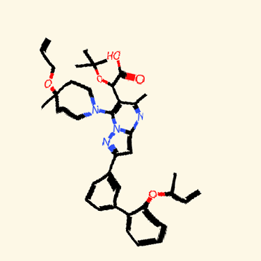 C=CCOC1(C)CCN(c2c(C(OC(C)(C)C)C(=O)O)c(C)nc3cc(-c4cccc(-c5ccccc5OC(C)C=C)c4)nn23)CC1